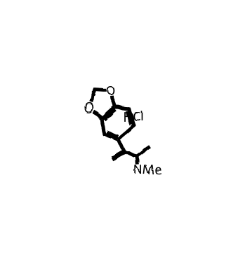 C=C(c1ccc2c(c1)OCO2)C(C)NC.Cl